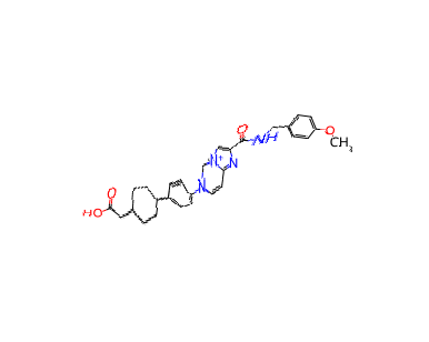 COc1ccc(CNC(=O)C2=C[N+]3CN(c4ccc(C5CCC(CC(=O)O)CC5)cc4)C=CC3=N2)cc1